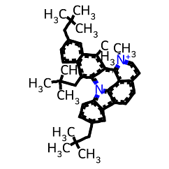 Cc1c2cc(CC(C)(C)C)ccc2c(CC(C)(C)C)c2c1c1c3c(ccc4c5cc(CC(C)(C)C)ccc5n2c43)cc[n+]1C